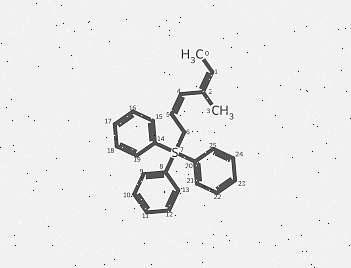 C/C=C(C)\C=C/CS(c1ccccc1)(c1ccccc1)c1ccccc1